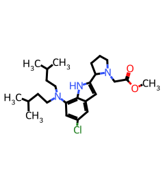 COC(=O)CN1CCCC1c1cc2cc(Cl)cc(N(CCC(C)C)CCC(C)C)c2[nH]1